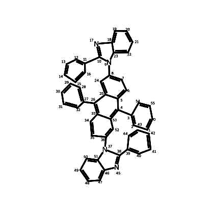 c1ccc(-c2c3ccc(-n4c(-c5ccccc5)nc5ccccc54)cc3c(-c3ccccc3)c3ccc(-n4c(-c5ccccc5)nc5ccccc54)cc23)cc1